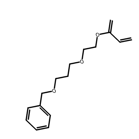 C=CC(=C)OCCOCCCOCc1ccccc1